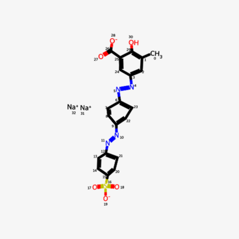 Cc1cc(/N=N/c2ccc(/N=N/c3ccc(S(=O)(=O)[O-])cc3)cc2)cc(C(=O)[O-])c1O.[Na+].[Na+]